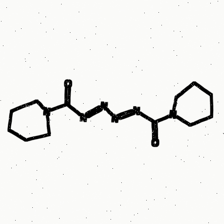 O=C(N=NN=NC(=O)N1CCCCC1)N1CCCCC1